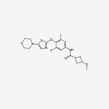 COC1CC(C(=O)Nc2cc(C)c(Oc3ncc(N4CCOCC4)s3)c(F)c2)C1